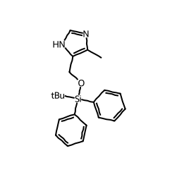 Cc1nc[nH]c1CO[Si](c1ccccc1)(c1ccccc1)C(C)(C)C